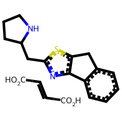 O=C(O)C=CC(=O)O.c1ccc2c(c1)Cc1sc(CC3CCCN3)nc1-2